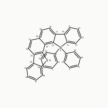 c1ccc([Si]2(c3ccccc3)c3ccccc3-c3ccc4ccc5c6ccccc6sc5c4c32)cc1